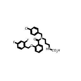 O=C(O)NCCCN(Cc1ccc(Cl)cc1)C(=O)c1ccccc1OCc1ccc(F)cc1F